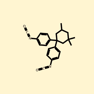 CC1CC(C)(C)CC(c2ccc(N=C=O)cc2)(c2ccc(N=C=O)cc2)C1